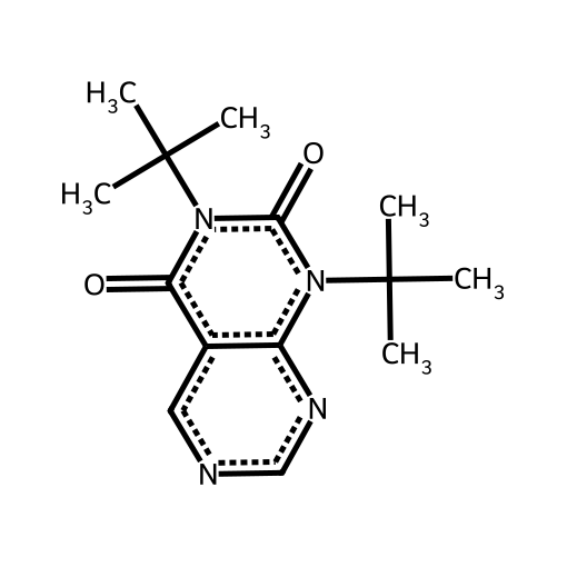 CC(C)(C)n1c(=O)c2cncnc2n(C(C)(C)C)c1=O